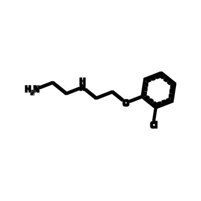 NCCNCCOc1ccccc1Cl